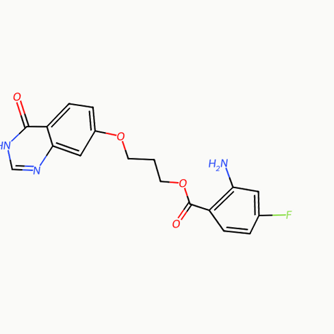 Nc1cc(F)ccc1C(=O)OCCCOc1ccc2c(=O)[nH]cnc2c1